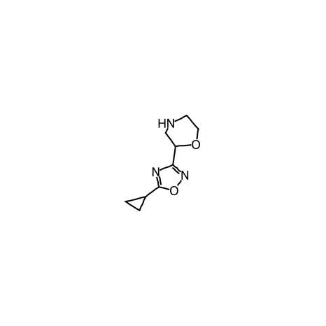 C1COC(c2noc(C3CC3)n2)CN1